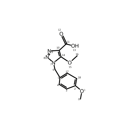 COc1ccc(Cn2nnc(C(=O)O)c2OC)cc1